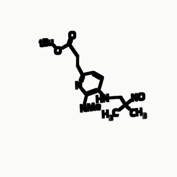 CNc1nc(CCC(=O)OC(C)(C)C)ccc1NCC(C)(C)N=O